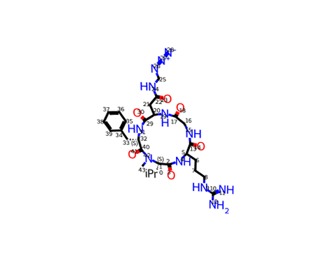 CC(C)[C@H]1C(=O)NC(CCCNC(=N)N)C(=O)NCC(=O)NC(CC(=O)NCN=[N+]=[N-])C(=O)N[C@@H](Cc2ccccc2)C(=O)N1C